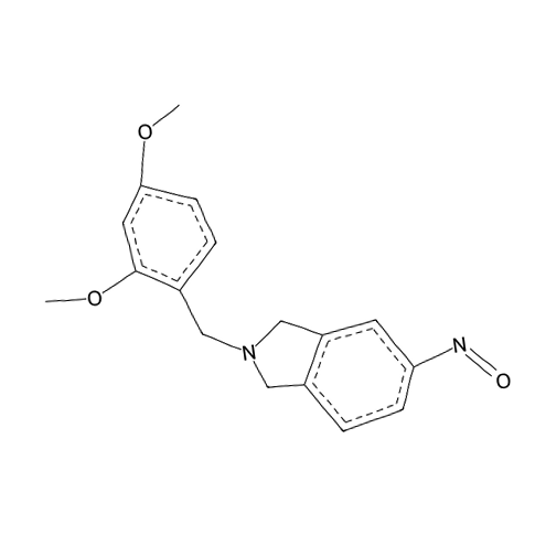 COc1ccc(CN2Cc3ccc(N=O)cc3C2)c(OC)c1